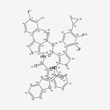 Cc1c(F)ccc(-c2csc(NC(=O)c3cc4ccccc4o3)c2C(=O)OC(=O)c2c(-c3ccc(C4CC4)c(F)c3F)csc2NC(=O)c2cc3ccccc3o2)c1C